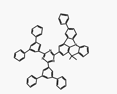 CC1(C)c2ccccc2-n2c3ccc(-c4ccccc4)cc3c3cc(-c4nc(-c5cc(-c6ccccc6)cc(-c6ccccc6)c5)nc(-c5cc(-c6ccccc6)cc(-c6ccccc6)c5)n4)cc1c32